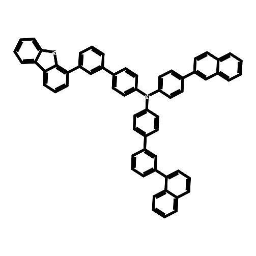 c1cc(-c2ccc(N(c3ccc(-c4cccc(-c5cccc6c5sc5ccccc56)c4)cc3)c3ccc(-c4ccc5ccccc5c4)cc3)cc2)cc(-c2cccc3ccccc23)c1